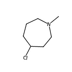 CN1CCCC(Cl)CC1